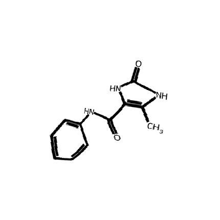 Cc1[nH]c(=O)[nH]c1C(=O)Nc1ccccc1